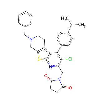 CC(C)c1ccc(-c2c(Cl)c(CN3C(=O)CCC3=O)nc3sc4c(c23)CCN(Cc2ccccc2)C4)cc1